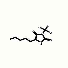 CCCCCC1NC(=O)N(C(Cl)(Cl)Cl)C1=O